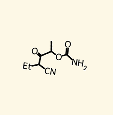 CCC(C#N)C(=O)C(C)OC(N)=O